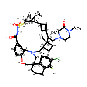 CO[C@@]1(CN2CCN(C)C(=O)C2)C2=C[C@@H](C2)[C@H](C)[C@@H](C)S(=O)(=O)NC(=O)c2ccc3c(c2)N(C[C@@H]2CC[C@H]21)C[C@@]1(CCCc2c1ccc(Cl)c2F)CO3